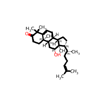 CC(C)=CCC[C@@H](C)[C@H]1CC[C@H]2[C@@H]3CC=C4C(C)(C)C(=O)CC[C@]4(C)[C@H]3C[C@@H](O)[C@]12C